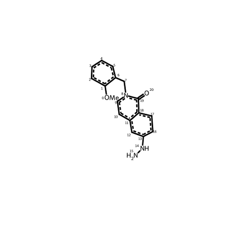 COc1ccccc1Cn1ccc2cc(NN)ccc2c1=O